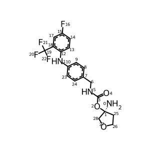 N[C@]1(OC(=O)NCc2ccc(Nc3ccc(F)cc3C(F)(F)F)cc2)CCOC1